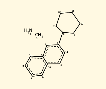 C.N.c1ccc2cc(C3CCCCC3)ccc2c1